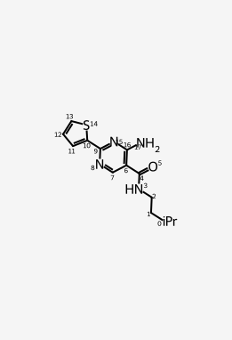 CC(C)CCNC(=O)c1cnc(-c2cccs2)nc1N